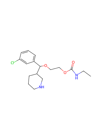 CCNC(=O)OCCOC(c1cccc(Cl)c1)C1CCCNC1